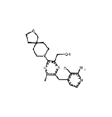 Cc1nc(N2CCC3(CCOC3)CC2)c(CO)nc1Cc1ccnc(N)c1Cl